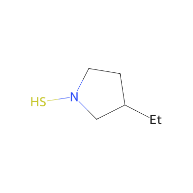 CCC1CCN(S)C1